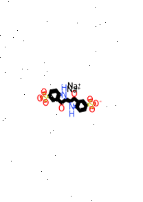 O=C1/C(=C2\Nc3ccc(S(=O)(=O)[O-])cc3C2=O)Nc2ccc(S(=O)(=O)[O-])cc21.[Na+].[Na+]